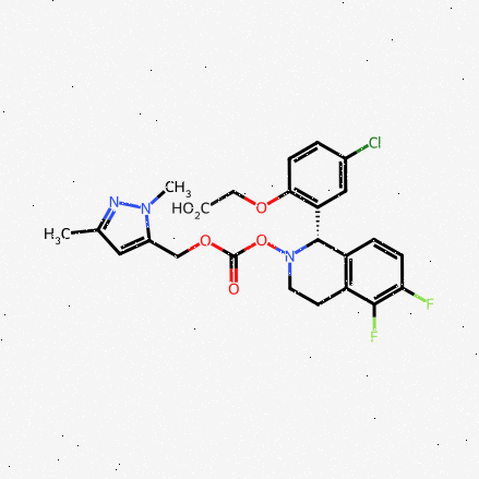 Cc1cc(COC(=O)ON2CCc3c(ccc(F)c3F)[C@H]2c2cc(Cl)ccc2OCC(=O)O)n(C)n1